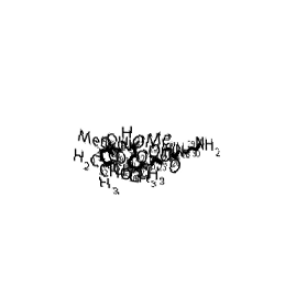 C=C1C[C@](OC)([C@H](O)C(=O)N[C@@H](OC)C2C[C@@H](O)C(C)(C)[C@@H](C[C@H](O)COC(=O)NCCCN)O2)O[C@H](C)[C@@H]1C